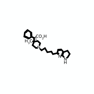 CC1([C@H](C(=O)O)c2ccccc2)CCN(CCCCCc2ccc3c(n2)NCCC3)CC1